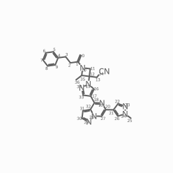 C=C(CCc1ccccc1)N1CC(CC#N)(n2cc(-c3nc(-c4cnn(C)c4)cn4nccc34)cn2)C1C